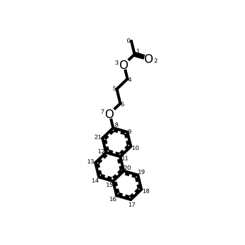 CC(=O)OCCCOc1ccc2c(ccc3ccccc32)c1